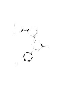 C=C(C)C(=O)OC(CO)CON(CC(=O)O)c1ccc(C)cc1